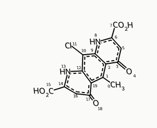 Cc1c2c(=O)cc(C(=O)O)[nH]c2c(Cl)c2[nH]c(C(=O)O)cc(=O)c12